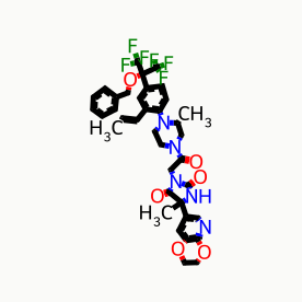 CC=Cc1cc(C(OCc2ccccc2)(C(F)(F)F)C(F)(F)F)ccc1N1CCN(C(=O)CN2C(=O)NC(C)(c3cnc4c(c3)OCCO4)C2=O)CC1C